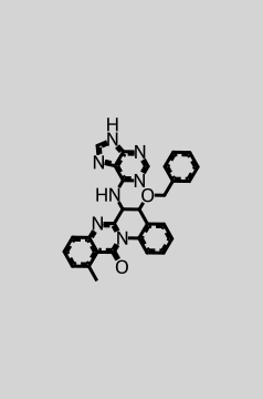 Cc1cccc2nc3n(c(=O)c12)-c1ccccc1C(OCc1ccccc1)C3Nc1ncnc2[nH]cnc12